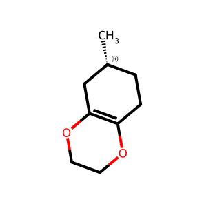 C[C@@H]1CCC2=C(C1)OCCO2